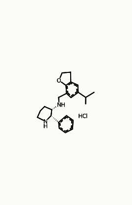 CC(C)c1cc2c(c(CN[C@H]3CCCN[C@H]3c3ccccc3)c1)OCC2.Cl